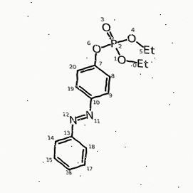 CCOP(=O)(OCC)Oc1ccc(N=Nc2ccccc2)cc1